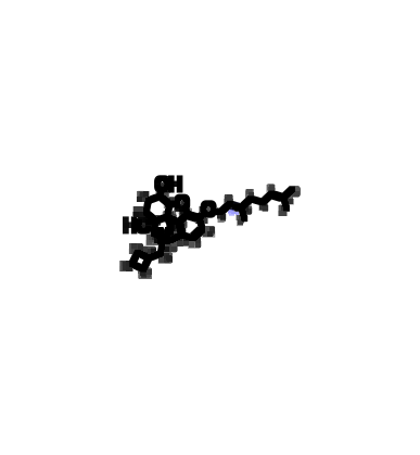 CC(C)=CCC/C(C)=C/COc1ccc2c3c1OC1C(O)CCC4(O)C(C2)N(CC2CCC2)CCC314